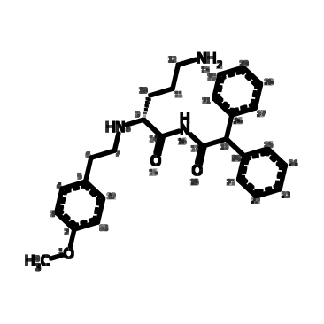 COc1ccc(CCN[C@H](CCCN)C(=O)NC(=O)C(c2ccccc2)c2ccccc2)cc1